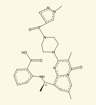 Cc1cc([C@@H](C)Nc2ccccc2C(=O)O)c2nc(N3CCN(C(=O)c4cnn(C)c4)CC3)c(C)c(=O)n2c1